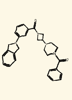 O=C(c1ccccc1)N1CCN(C2CN(C(=O)c3cccc(N4Cc5ccccc5C4)c3)C2)CC1